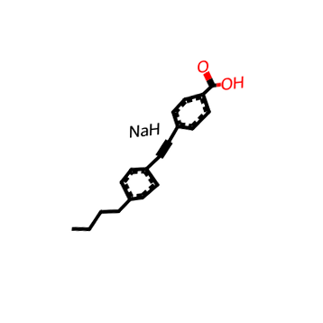 CCCCc1ccc(C#Cc2ccc(C(=O)O)cc2)cc1.[NaH]